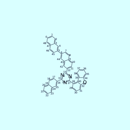 c1ccc2cc(-c3ccc4ccc(-c5nc(-c6ccc7ccccc7c6)nc(-c6cccc7oc8ccccc8c67)n5)cc4c3)ccc2c1